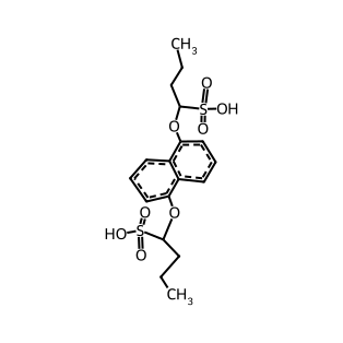 CCCC(Oc1cccc2c(OC(CCC)S(=O)(=O)O)cccc12)S(=O)(=O)O